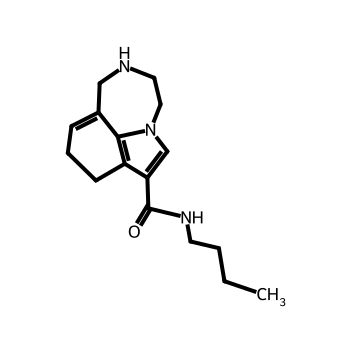 CCCCNC(=O)c1cn2c3c1CCC=C3CNCC2